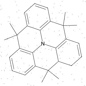 CC1(C)C2=C3C(CC=C2)C(C)(C)c2cccc4c2N3c2c1cccc2C4(C)C